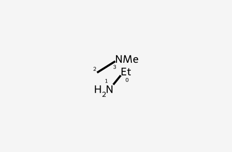 CCN.CNC